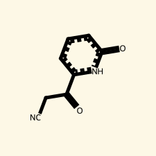 N#CCC(=O)c1cccc(=O)[nH]1